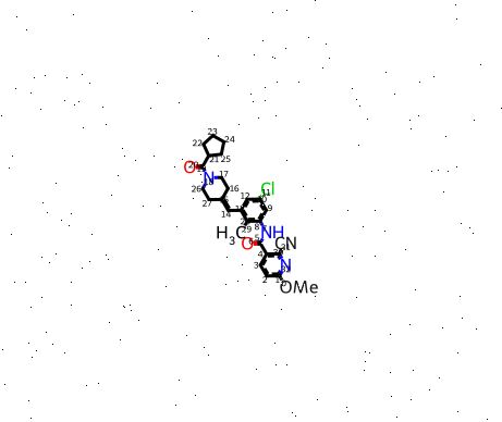 COc1ccc(C(=O)Nc2cc(Cl)cc(C=C3CCN(C(=O)C4CCCC4)CC3)c2C)c(C#N)n1